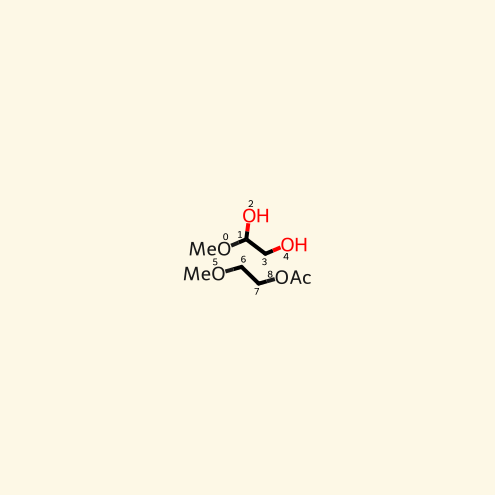 COC(O)CO.COCCOC(C)=O